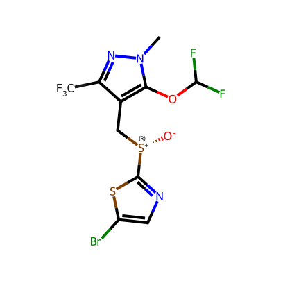 Cn1nc(C(F)(F)F)c(C[S@+]([O-])c2ncc(Br)s2)c1OC(F)F